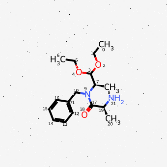 CCOC(OCC)[C@@H](C)N(Cc1ccccc1)C(=O)[C@H](C)N